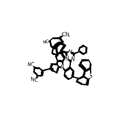 N#Cc1cc(C#N)cc(-c2ccc3c(c2)c2cc(-c4cc(C#N)cc(C#N)c4)ccc2n3-c2ccc(-c3cccc4sc5ccccc5c34)cc2-c2nc(-c3ccccc3)nc(-c3ccccc3)n2)c1